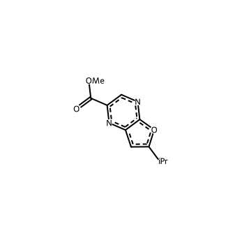 COC(=O)c1cnc2oc(C(C)C)cc2n1